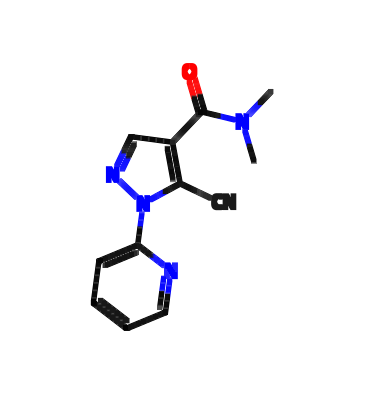 CN(C)C(=O)c1cnn(-c2ccccn2)c1C#N